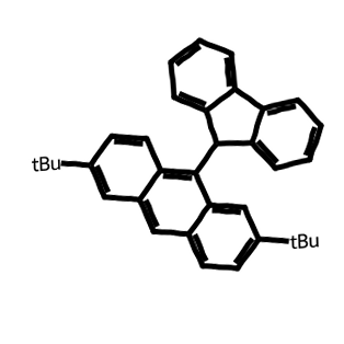 CC(C)(C)c1ccc2c(C3c4ccccc4-c4ccccc43)c3cc(C(C)(C)C)ccc3cc2c1